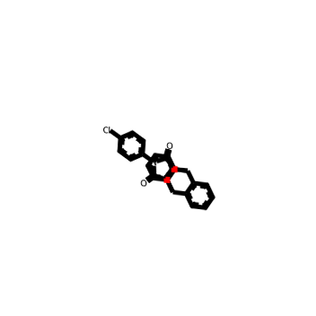 O=C1C2=C(C(=O)N1c1ccc(Cl)cc1)C1c3ccccc3C2c2ccccc21